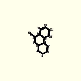 IC1=CC2CCC=CC2C2C=CC=CC12